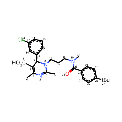 CC1=NC(C)=C(C(=O)O)C(c2cccc(Cl)c2)N1CCCN(C)C(=O)c1ccc(C(C)(C)C)cc1